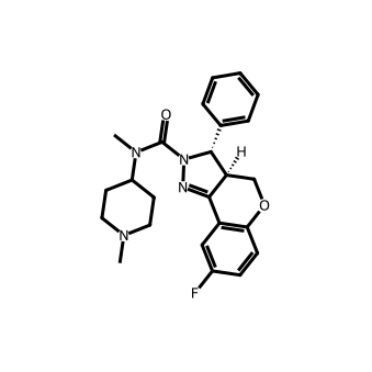 CN1CCC(N(C)C(=O)N2N=C3c4cc(F)ccc4OC[C@@H]3[C@H]2c2ccccc2)CC1